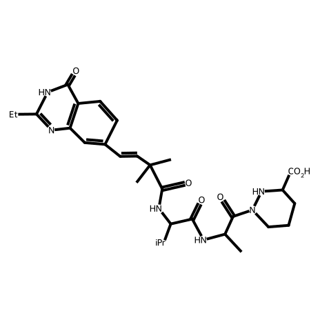 CCc1nc2cc(/C=C/C(C)(C)C(=O)NC(C(=O)NC(C)C(=O)N3CCCC(C(=O)O)N3)C(C)C)ccc2c(=O)[nH]1